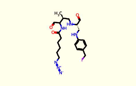 C[C@@H](CN[C@H](C=O)CNc1ccc(CI)cc1)C(C=O)NC(=O)CCCCCN=[N+]=[N-]